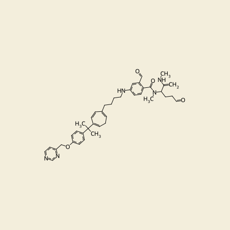 C=C(NC)C(CCC=O)N(C)C(=O)c1ccc(NCCCCC2=CCC=C(C(C)(C)c3ccc(OCc4ccncn4)cc3)C=C2)cc1C=O